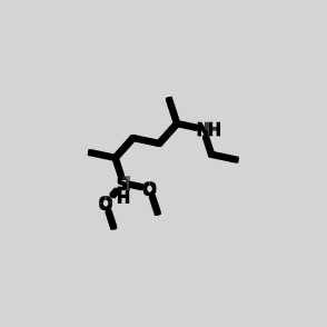 CCNC(C)CCC(C)[SiH](OC)OC